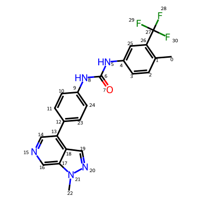 Cc1ccc(NC(=O)Nc2ccc(-c3cncc4c3cnn4C)cc2)cc1C(F)(F)F